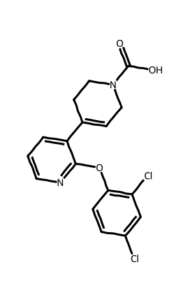 O=C(O)N1CC=C(c2cccnc2Oc2ccc(Cl)cc2Cl)CC1